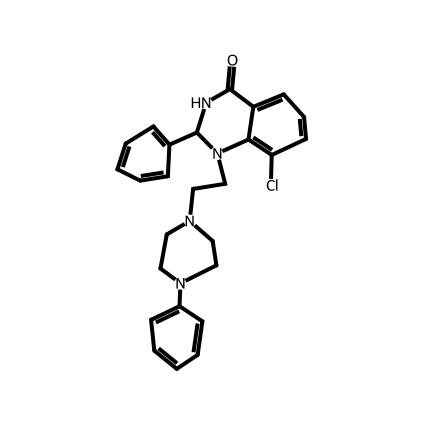 O=C1NC(c2ccccc2)N(CCN2CCN(c3ccccc3)CC2)c2c(Cl)cccc21